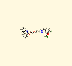 FC(F)(F)Oc1cc(CNCCCCOCCOc2nc3ccccc3c3cnccc23)ccc1Cl